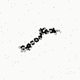 CCC1(C(C)(C)C(N)=O)CCN(c2ccc(-c3nc(-c4cnn(C5CCC(N6CCN(c7ccc8c(N9CCC(=O)NC9=O)nn(C)c8c7F)CC6)CC5)c4)cn4ncc(C#N)c34)cn2)CC1